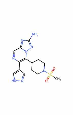 CS(=O)(=O)N1CCC(c2c(-c3cn[nH]c3)ncc3nc(N)nn23)CC1